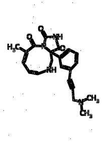 C/C1=C/C=C\NCC2(c3cccc(C#CCN(C)C)c3)C(=O)NC(=O)N2C1=O